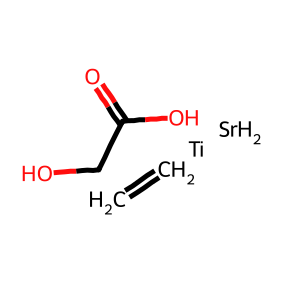 C=C.O=C(O)CO.[SrH2].[Ti]